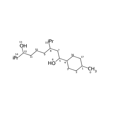 CC1CCC(C(O)CC(CCCC(O)C(C)C)C(C)C)CC1